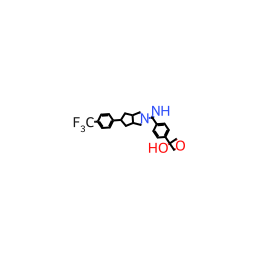 N=C(c1ccc(C2(O)COC2)cc1)N1CC2CC(c3ccc(C(F)(F)F)cc3)CC2C1